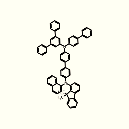 CC1(C)c2ccccc2-c2cccc(N(c3ccc(-c4ccc(N(c5ccc(-c6ccccc6)cc5)c5cc(-c6ccccc6)cc(-c6ccccc6)c5)cc4)cc3)c3cccc4ccccc34)c21